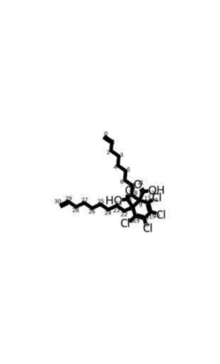 C=CCCCCCCCC1(C(=O)O)C(Cl)=C(Cl)C(Cl)=C(Cl)C1(CCCCCCCC=C)C(=O)O